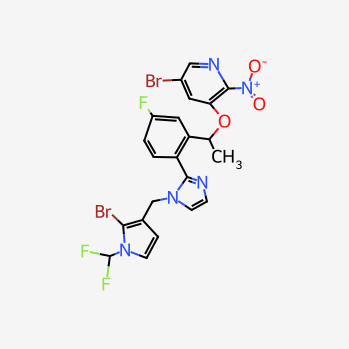 CC(Oc1cc(Br)cnc1[N+](=O)[O-])c1cc(F)ccc1-c1nccn1Cc1ccn(C(F)F)c1Br